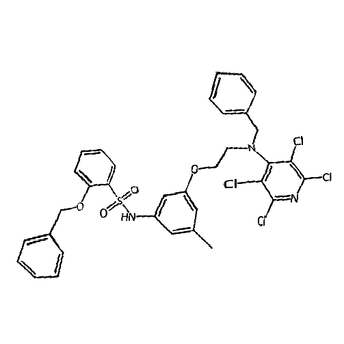 Cc1cc(NS(=O)(=O)c2ccccc2OCc2ccccc2)cc(OCCN(Cc2ccccc2)c2c(Cl)c(Cl)nc(Cl)c2Cl)c1